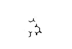 C=C(CC(=O)OC(C)CC)C(=O)OC(C)CC